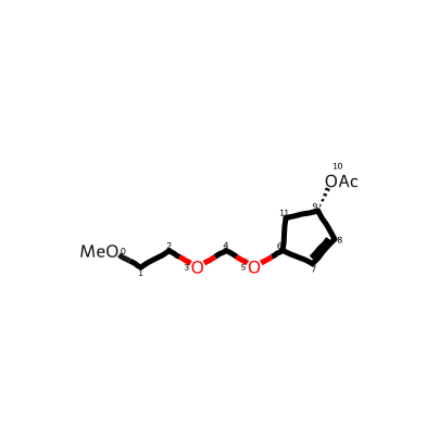 COCCOCOC1C=C[C@@H](OC(C)=O)C1